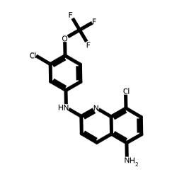 Nc1ccc(Cl)c2nc(Nc3ccc(OC(F)(F)F)c(Cl)c3)ccc12